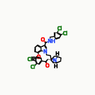 CC(C)Oc1cccc2c(C(=O)NCc3ccc(Cl)c(Cl)c3)cn(CCCN3[C@@H]4CC[C@H]3C[C@H](CC(=O)c3ccc(Cl)c(Cl)c3)C4)c12